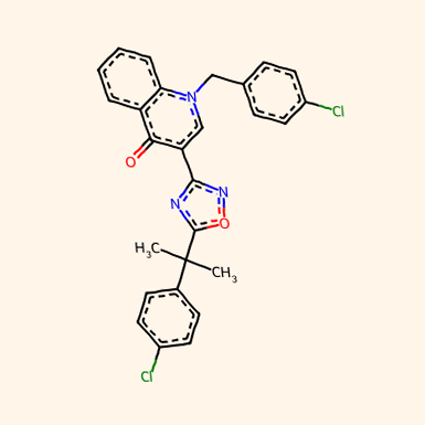 CC(C)(c1ccc(Cl)cc1)c1nc(-c2cn(Cc3ccc(Cl)cc3)c3ccccc3c2=O)no1